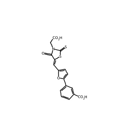 O=C(O)CN1C(=O)C(=Cc2ccc(-c3cccc(C(=O)O)c3)o2)SC1=S